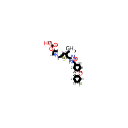 CCc1cc(CN2CC(OC(=O)O)C2)sc1-c1noc(-c2ccc(Oc3cccc(F)c3)cc2)n1